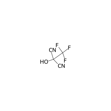 N#CC(O)(C#N)C(F)(F)F